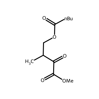 CCCCC(=O)OCC(C)C(=O)C(=O)OC